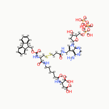 Nc1ncnc2c1c(CNC(=O)CCSSCC(NC(=O)OCC1c3ccccc3-c3ccccc31)C(=O)NCCCCCC(=O)NC(CC(=O)O)C(=O)O)cn2C1CC(O)C(COP(=O)(O)OP(=O)(O)OP(=O)(O)O)O1